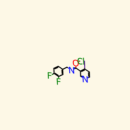 Fc1ccc(CN=C(OCl)c2cnccc2I)cc1F